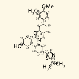 COc1ccc([C@H]2CC[C@H](CN(c3cccc(-c4cnc(N(C)C)s4)c3)C(=O)[C@H]3CC[C@H](O)CC3)CC2)cc1C